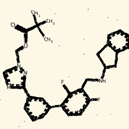 CC(C)(C)C(=O)OCn1cnc(-c2cccc(-c3ccc(F)c(CNC4Cc5ccccc5C4)c3F)c2)n1